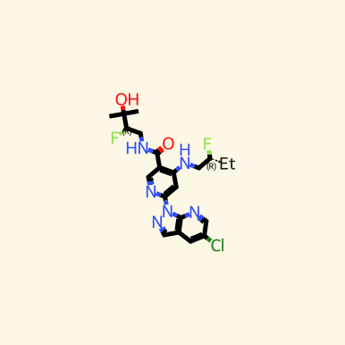 CC[C@@H](F)CNc1cc(-n2ncc3cc(Cl)cnc32)ncc1C(=O)NC[C@@H](F)C(C)(C)O